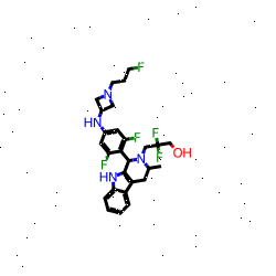 CC1Cc2c([nH]c3ccccc23)C(c2c(F)cc(NC3CN(CCCF)C3)cc2F)N1CC(F)(F)CO